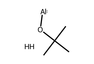 CC(C)(C)[O][Al].[HH]